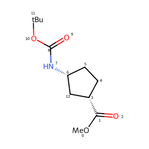 COC(=O)[C@H]1CC[C@@H](NC(=O)OC(C)(C)C)C1